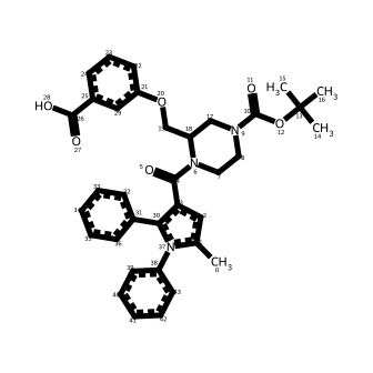 Cc1cc(C(=O)N2CCN(C(=O)OC(C)(C)C)CC2COc2cccc(C(=O)O)c2)c(-c2ccccc2)n1-c1ccccc1